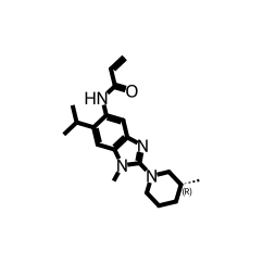 C=CC(=O)Nc1cc2nc(N3CCC[C@@H](C)C3)n(C)c2cc1C(C)C